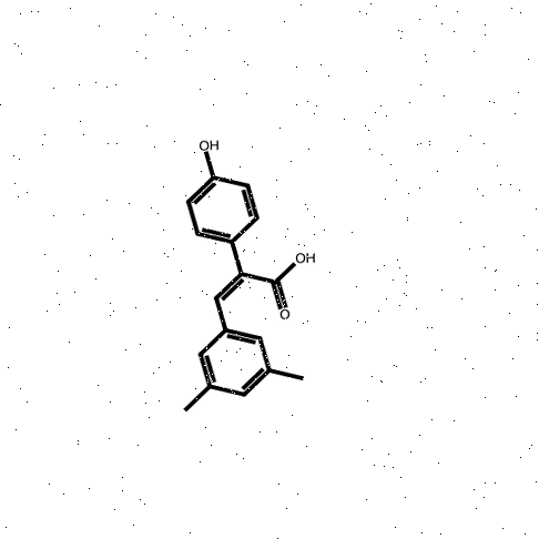 Cc1cc(C)cc(C=C(C(=O)O)c2ccc(O)cc2)c1